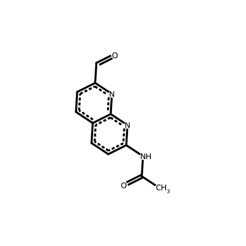 CC(=O)Nc1ccc2ccc(C=O)nc2n1